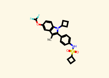 N#Cc1c(-c2ccc(NS(=O)(=O)C3CCC3)cc2)n(C2CCC2)c2ccc(OC(F)F)cc12